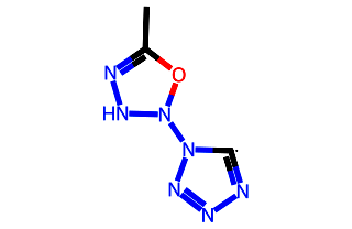 CC1=NNN(n2[c]nnn2)O1